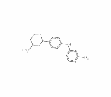 O=C(O)N1CCOC(c2ccc(Nc3ccnc(C(F)(F)F)n3)cc2)C1